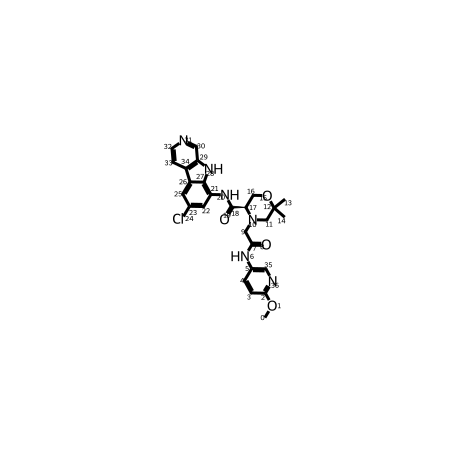 COc1ccc(NC(=O)CN2CC(C)(C)OC[C@@H]2C(=O)Nc2cc(Cl)cc3c2[nH]c2cnccc23)cn1